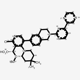 CC1(C)CCN(c2c(-c3ccc4c(c3)CCN(c3nccc(-c5cnccn5)n3)C4)cnc(Cl)c2[C@H](OC(C)(C)C)C(=O)O)CC1